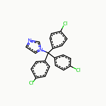 Clc1ccc(C(c2ccc(Cl)cc2)(c2ccc(Cl)cc2)n2ccnc2)cc1